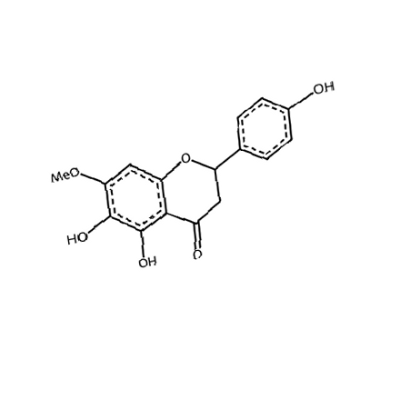 COc1cc2c(c(O)c1O)C(=O)CC(c1ccc(O)cc1)O2